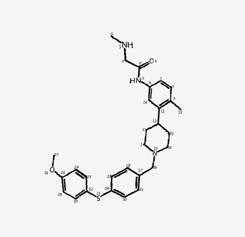 CNCC(=O)Nc1ccc(C)c(C2CCN(Cc3ccc(Sc4ccc(OC)cc4)cc3)CC2)c1